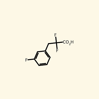 O=C(O)C(F)(F)Cc1cccc(F)c1